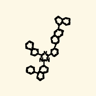 c1ccc(-c2cccc3ccc(-c4nc(-c5cccc(-c6ccc7cc(-c8cccc9ccccc89)ccc7c6)c5)nc(-c5ccc6ccccc6c5)n4)cc23)cc1